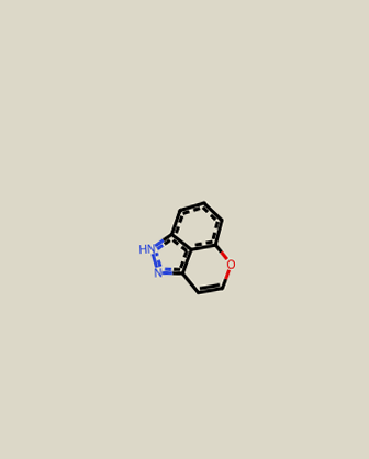 C1=Cc2n[nH]c3cccc(c23)O1